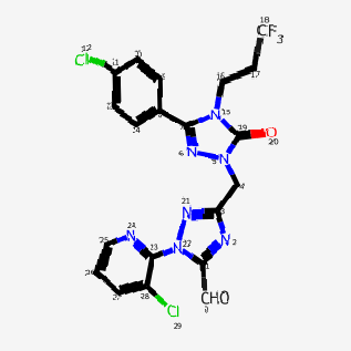 O=Cc1nc(Cn2nc(-c3ccc(Cl)cc3)n(CCC(F)(F)F)c2=O)nn1-c1ncccc1Cl